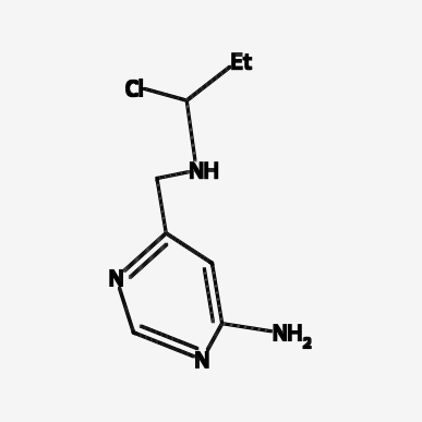 CCC(Cl)NCc1cc(N)ncn1